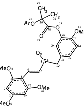 COc1cc(OC)c(/C=C/[S+]([O-])Cc2ccc(OC)c(OC(=O)C(C)(C)OC(C)=O)c2)c(OC)c1